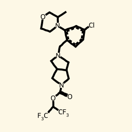 CC1COCCN1c1cc(Cl)ccc1CN1CC2CN(C(=O)OC(C(F)(F)F)C(F)(F)F)CC2C1